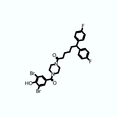 O=C(CCCCC(c1ccc(F)cc1)c1ccc(F)cc1)N1CCN(C(=O)c2cc(Br)c(O)c(Br)c2)CC1